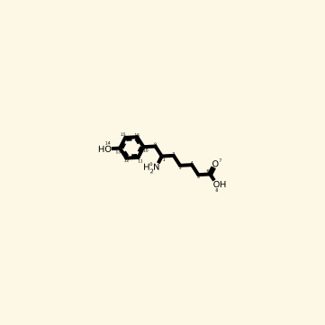 NC(CCCCC(=O)O)Cc1ccc(O)cc1